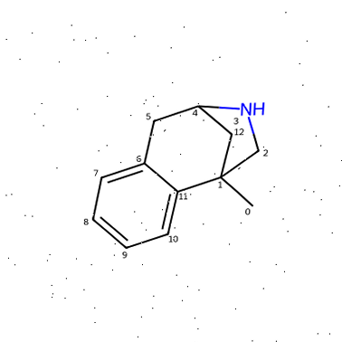 CC12CNC(Cc3ccccc31)C2